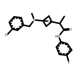 CC(C(=O)Nc1ccc(F)cc1)C12CC(N(C)Cc3cccc(Cl)c3)(C1)C2